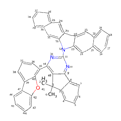 CC1(C)c2ccccc2-c2nc(-n3c4cc5ccccc5cc4c4cc5ccccc5cc43)nc(-c3cccc4c3oc3ccccc34)c21